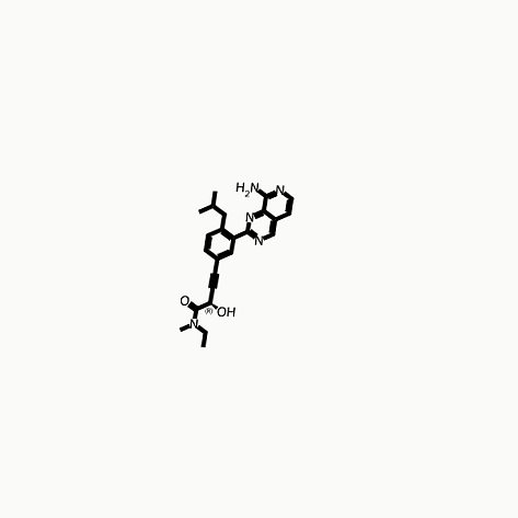 CCN(C)C(=O)[C@H](O)C#Cc1ccc(CC(C)C)c(-c2ncc3ccnc(N)c3n2)c1